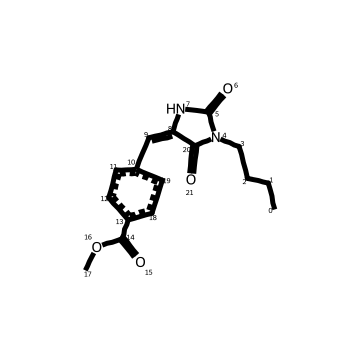 CCCCN1C(=O)NC(=Cc2ccc(C(=O)OC)cc2)C1=O